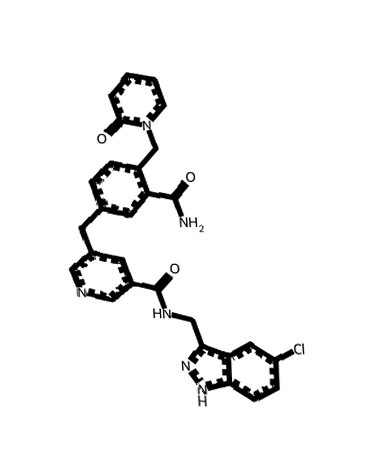 NC(=O)c1cc(Cc2cncc(C(=O)NCc3n[nH]c4ccc(Cl)cc34)c2)ccc1Cn1ccccc1=O